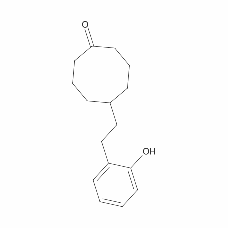 O=C1CCCC(CCc2ccccc2O)CCC1